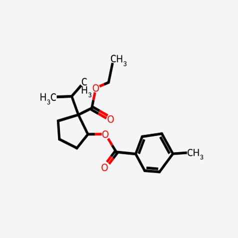 CCOC(=O)C1(C(C)C)CCCC1OC(=O)c1ccc(C)cc1